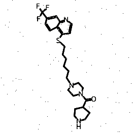 O=C(C1CCNCC1)N1CCN(CCCCCCSc2ccnc3cc(C(F)(F)F)ccc23)CC1